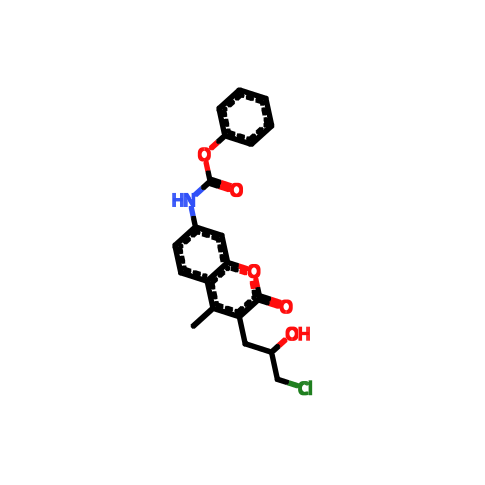 Cc1c(CC(O)CCl)c(=O)oc2cc(NC(=O)Oc3ccccc3)ccc12